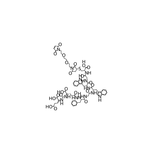 O=C(O)CC[C@H](NC(=O)N[C@@H](CCC(=O)NNC(Cc1ccccc1)C(=O)NCC(=O)NC(Cc1c[nH]c2ccccc12)C(=O)NC(Cc1c[nH]c2ccccc12)C(=O)NCC(=O)NC(CSC1CC(=O)N(CCOCCOCCN2C(=O)C=CC2=O)C1=O)C(=O)O)C(=O)O)C(=O)O